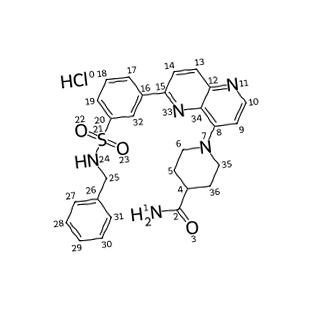 Cl.NC(=O)C1CCN(c2ccnc3ccc(-c4cccc(S(=O)(=O)NCc5ccccc5)c4)nc23)CC1